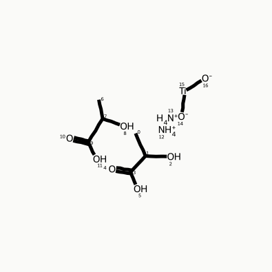 CC(O)C(=O)O.CC(O)C(=O)O.[NH4+].[NH4+].[O-][Ti][O-]